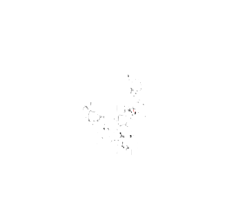 CC(CN(Cc1ccc(C(F)(F)F)cn1)C(=O)C(=O)Nc1cnc(N(C(=O)OC(C)(C)C)C(NCc2ccc(C(F)(F)F)cn2)C(C)C2CC2)c(C2CC2)c1)C1CC1